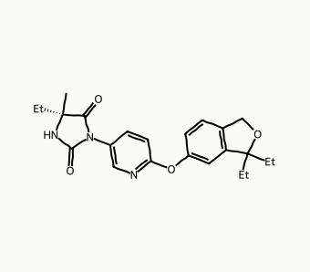 CCC1(CC)OCc2ccc(Oc3ccc(N4C(=O)N[C@](C)(CC)C4=O)cn3)cc21